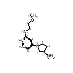 COCCNc1cc(N2CC[C@@H](N)C2)cnn1